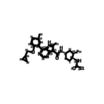 CCC(=O)N[C@H]1CC[C@H](NC(=O)c2c(C)[nH]c3c(-c4cc(C)ccc4OCC4CC4)ncnc23)C[C@H]1F